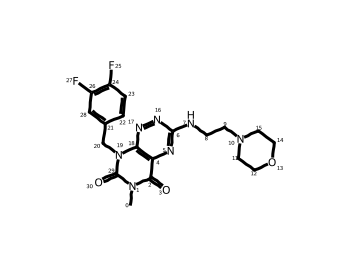 Cn1c(=O)c2nc(NCCN3CCOCC3)nnc2n(Cc2ccc(F)c(F)c2)c1=O